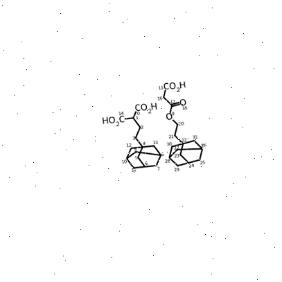 O=C(O)C(CCC12CC3CC(CC(C3)C1)C2)C(=O)O.O=C(O)CC(=O)OCCC12CC3CC(CC(C3)C1)C2